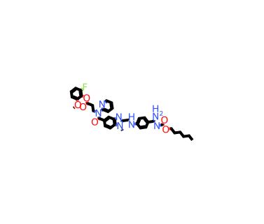 CCCCCCOC(=O)/N=C(\N)c1ccc(NCc2nc3cc(C(=O)N(CCC(=O)Oc4c(F)cccc4OC)c4ccccn4)ccc3n2C)cc1